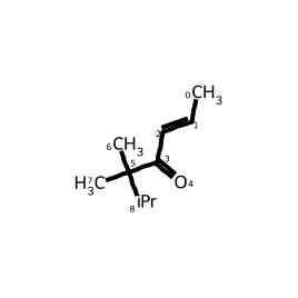 C/C=C/C(=O)C(C)(C)C(C)C